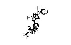 O=C(NCC(F)F)c1cnn2ccc(-c3c[nH]c4nc(NC5CCOCC5)ncc34)cc12